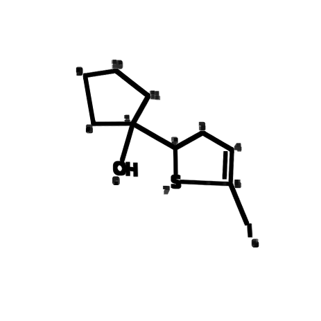 OC1(C2CC=C(I)S2)CCCC1